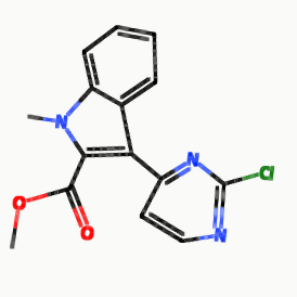 COC(=O)c1c(-c2ccnc(Cl)n2)c2ccccc2n1C